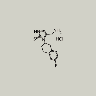 Cl.NCc1c[nH]c(=S)n1C1CCc2cc(F)ccc2C1